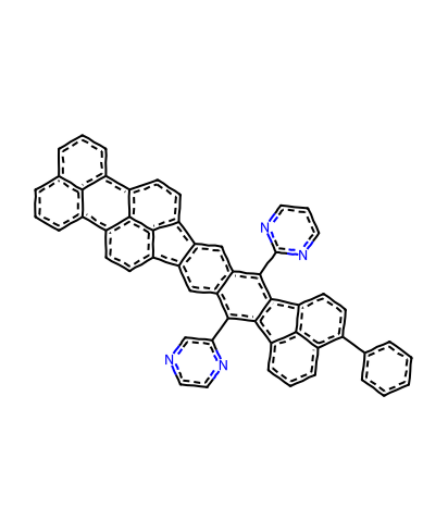 c1ccc(-c2ccc3c4c(-c5ncccn5)c5cc6c(cc5c(-c5cnccn5)c4c4cccc2c43)c2ccc3c4cccc5cccc(c7ccc6c2c37)c54)cc1